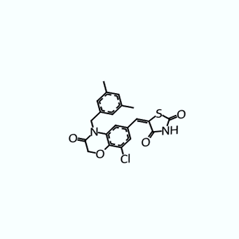 Cc1cc(C)cc(CN2C(=O)COc3c(Cl)cc(C=C4SC(=O)NC4=O)cc32)c1